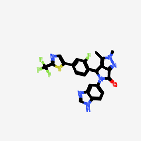 Cc1c2c(nn1C)C(=O)N(c1ccc3[nH]cnc3c1)C2c1ccc(-c2cnc(C(F)(F)F)s2)cc1F